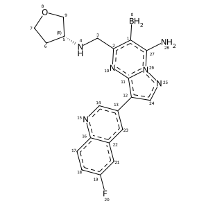 Bc1c(CN[C@@H]2CCOC2)nc2c(-c3cnc4ccc(F)cc4c3)cnn2c1N